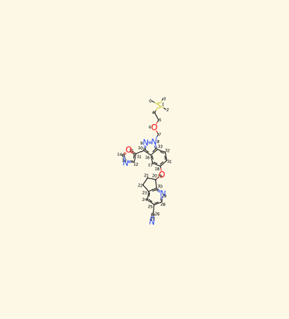 CS(C)(C)CCOCn1nc(-c2cnco2)c2cc(OC3CCc4cc(C#N)cnc43)ccc21